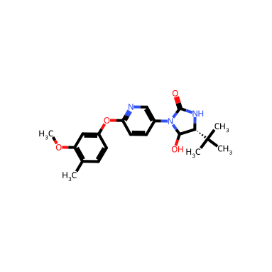 COc1cc(Oc2ccc(N3C(=O)N[C@H](C(C)(C)C)C3O)cn2)ccc1C